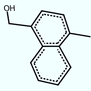 Cc1ccc(CO)c2ccccc12